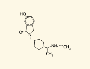 CCCNC(C)[C@H]1CC[C@H](CN2Cc3ccc(O)cc3C2=O)CC1